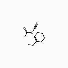 CC(=O)OC#N.CCC1=CCCCC1